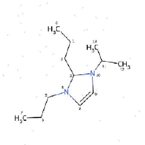 CCCC1N(CCC)C=CN1C(C)C